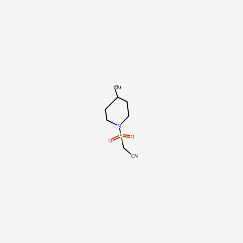 CC(C)(C)C1CCN(S(=O)(=O)CC#N)CC1